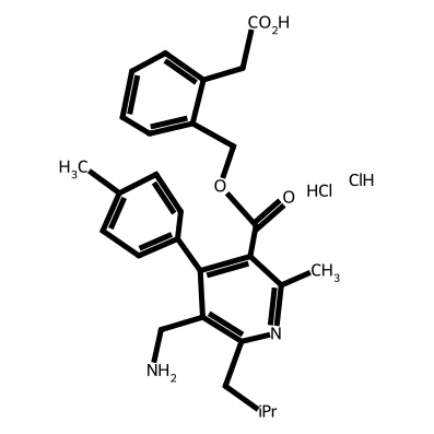 Cc1ccc(-c2c(CN)c(CC(C)C)nc(C)c2C(=O)OCc2ccccc2CC(=O)O)cc1.Cl.Cl